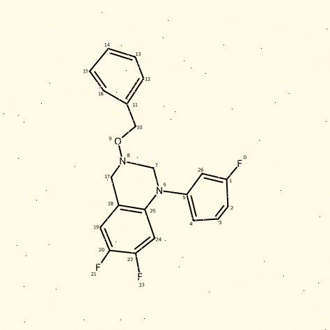 Fc1cccc(N2CN(OCc3ccccc3)Cc3cc(F)c(F)cc32)c1